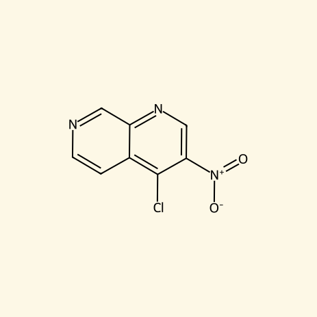 O=[N+]([O-])c1cnc2cnccc2c1Cl